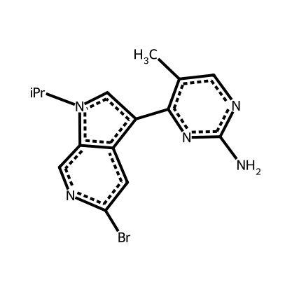 Cc1cnc(N)nc1-c1cn(C(C)C)c2cnc(Br)cc12